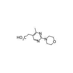 Cc1nc(N2CCOCC2)ncc1CC(=O)O